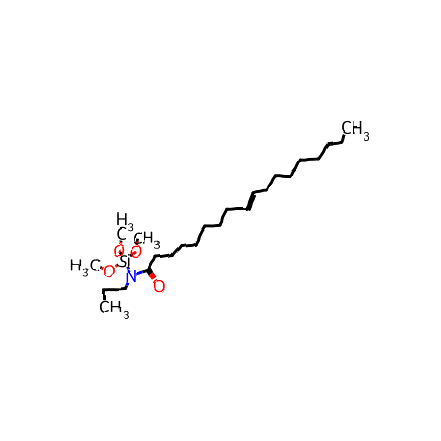 CCCCCCCCC=CCCCCCCCC(=O)N(CCC)[Si](OC)(OC)OC